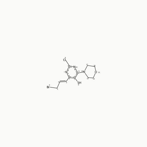 Sc1c(/C=C/CBr)nc(Cl)nc1N1CCOCC1